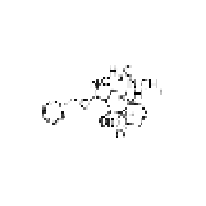 CN(C)[C@H]1c2onc(OCc3ccccc3)c2C(=O)[C@@]2(O)C(=O)C=CC[C@@H]12